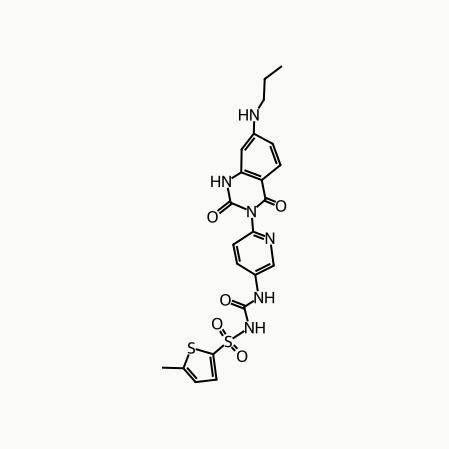 CCCNc1ccc2c(=O)n(-c3ccc(NC(=O)NS(=O)(=O)c4ccc(C)s4)cn3)c(=O)[nH]c2c1